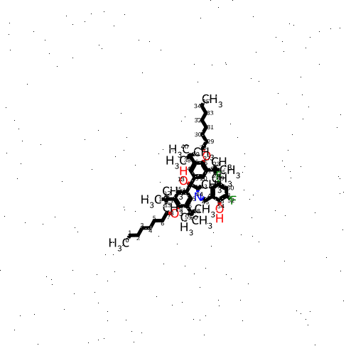 CCCCCCCCOc1c(C(C)(C)C)cc(C(O)(c2cc(C(C)(C)C)c(OCCCCCCCC)c(C(C)(C)C)c2)C(C)N=Cc2cc(F)cc(F)c2O)cc1C(C)(C)C